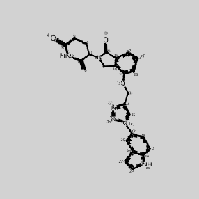 C=C1NC(=O)CCC1N1Cc2c(OCc3cn(-c4ccc5[nH]ccc5c4)nn3)cccc2C1=O